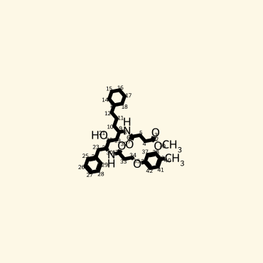 COC(=O)CCC(=O)NC(CCCC1CCCCC1)C[C@H](O)C(Cc1ccccc1)NC(=O)CCOc1ccc(C)cc1